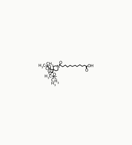 CC(C)(C)OC(=O)C1(C(=O)OC(C)(C)C)CCN(C(=O)CCCCCCCCCCC(=O)O)CC1